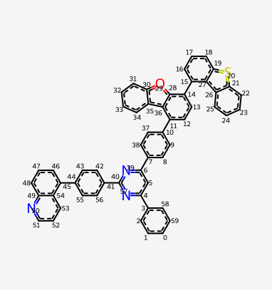 c1ccc(-c2cc(-c3ccc(-c4ccc(-c5cccc6sc7ccccc7c56)c5oc6ccccc6c45)cc3)nc(-c3ccc(-c4cccc5ncccc45)cc3)n2)cc1